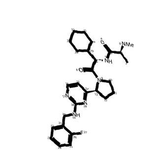 CN[C@@H](C)C(=O)N[C@H](C(=O)N1CCC[C@H]1c1ccnc(NCc2ccccc2F)n1)C1CCCCC1